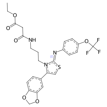 CCOC(=O)CC(=O)NCCCn1c(-c2ccc3c(c2)OCO3)cs/c1=N\c1ccc(OC(F)(F)F)cc1